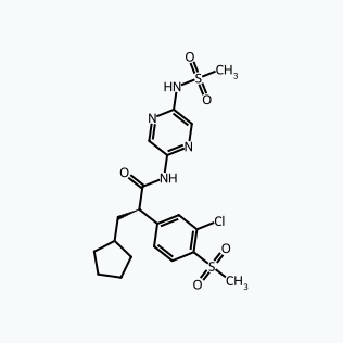 CS(=O)(=O)Nc1cnc(NC(=O)[C@H](CC2CCCC2)c2ccc(S(C)(=O)=O)c(Cl)c2)cn1